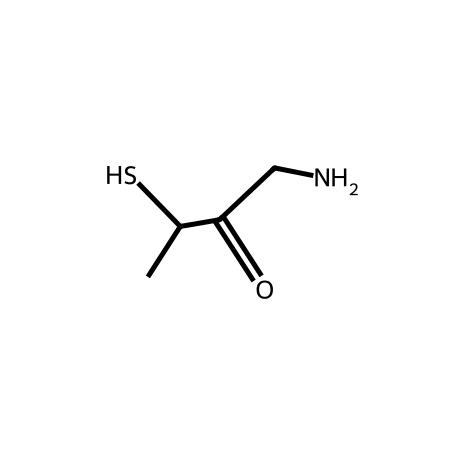 CC(S)C(=O)CN